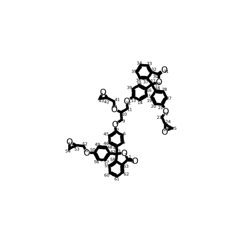 O=C1OC(c2ccc(OCC(COc3ccc(C4(c5ccc(OCC6CO6)cc5)OC(=O)c5ccccc54)cc3)OCC3CO3)cc2)(c2ccc(OCC3CO3)cc2)c2ccccc21